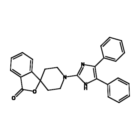 O=C1OC2(CCN(c3nc(-c4ccccc4)c(-c4ccccc4)[nH]3)CC2)c2ccccc21